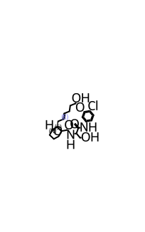 O=C(O)CC/C=C/C[C@H]1C(C(=O)NC(CO)C(=O)Nc2ccc(Cl)cc2)C2CC[C@H]1O2